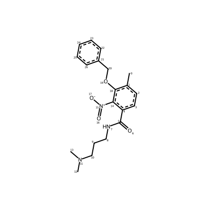 Cc1ccc(C(=O)NCCCN(C)C)c([N+](=O)[O-])c1OCc1ccccc1